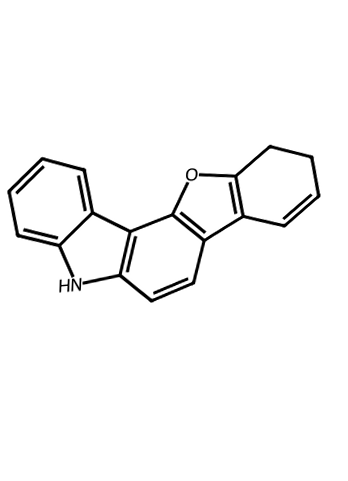 C1=Cc2c(oc3c2ccc2[nH]c4ccccc4c23)CC1